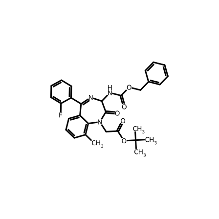 Cc1cccc2c1N(CC(=O)OC(C)(C)C)C(=O)C(NC(=O)OCc1ccccc1)N=C2c1ccccc1F